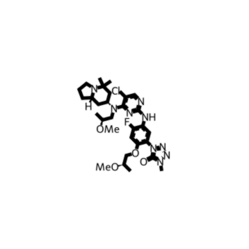 CO[C@@H](C)COc1cc(F)c(Nc2ncc(Cl)c(N(C[C@H](C)OC)[C@@H]3C[C@@H]4CCCN4C(C)(C)C3)n2)cc1-n1nnn(C)c1=O